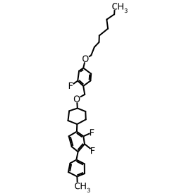 CCCCCCCCOc1ccc(COC2CCC(c3ccc(-c4ccc(C)cc4)c(F)c3F)CC2)c(F)c1